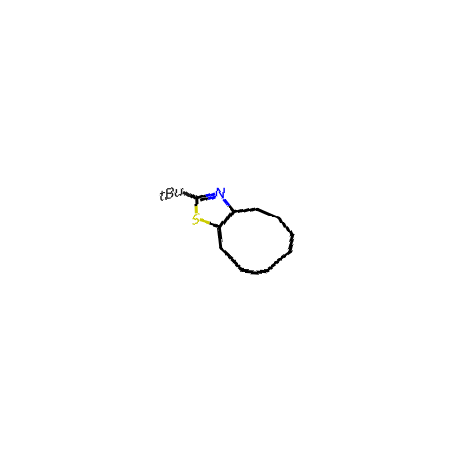 CC(C)(C)C1=NC2CCCCCCCC2S1